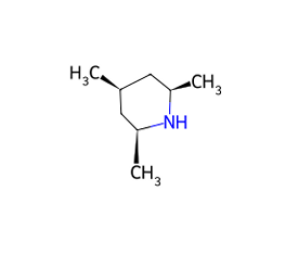 C[C@H]1C[C@@H](C)N[C@@H](C)C1